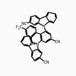 N#Cc1cc(-n2c3ccccc3c3ccc(C#N)cc32)c(-c2ccc(C(F)(F)F)cc2C#N)c(-n2c3ccccc3c3ccc(C#N)cc32)c1